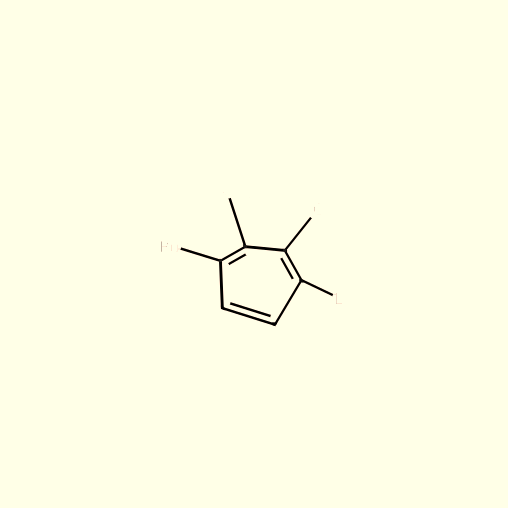 CCc1ccc(C(C)CC)c(C)c1Cl